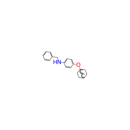 c1ccc(CNc2ccc(OC34CCC(CC3)CC4)cc2)cc1